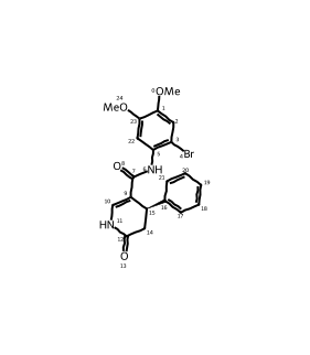 COc1cc(Br)c(NC(=O)C2=CNC(=O)C[C@@H]2c2ccccc2)cc1OC